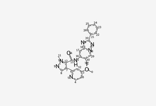 COc1ccnc(-c2cnn(C)c2C(=O)Nc2cc3nc(-c4ccccc4)nn3cc2F)c1